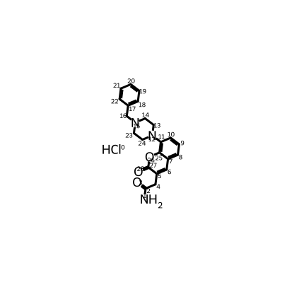 Cl.NC(=O)Cc1cc2cccc(N3CCN(Cc4ccccc4)CC3)c2oc1=O